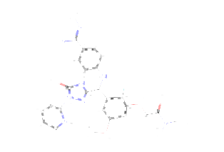 C/N=C(\N)c1ccc(NC(c2nn(-c3ccccn3)c(=O)[nH]2)c2cc(OC)cc(OCC(=O)N(C)C)c2F)cc1